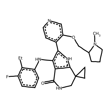 CCc1c(F)cccc1Nc1c(-c2ccncc2OCC2CCCN2C)[nH]c2c1C(=O)NCC21CC1